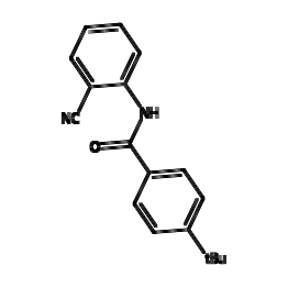 CC(C)(C)c1ccc(C(=O)Nc2ccccc2C#N)cc1